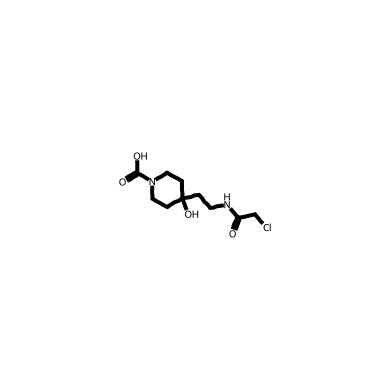 O=C(CCl)NCCC1(O)CCN(C(=O)O)CC1